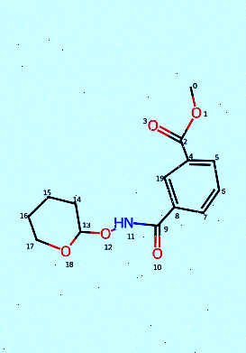 COC(=O)c1cccc(C(=O)NOC2CCCCO2)c1